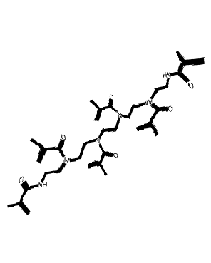 C=C(C)C(=O)NCCN(CCN(CCN(CCN(CCNC(=O)C(=C)C)C(=O)C(=C)C)C(=O)C(=C)C)C(=O)C(=C)C)C(=O)C(=C)C